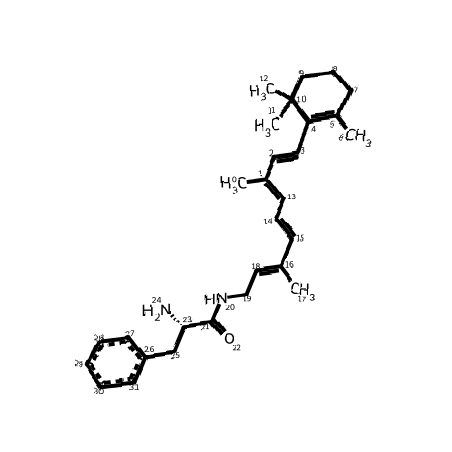 CC(C=CC1=C(C)CCCC1(C)C)=CC=CC(C)=CCNC(=O)[C@@H](N)Cc1ccccc1